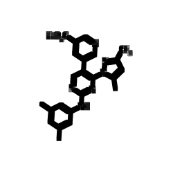 CCOC(=O)c1cncc(-c2cnc(Nc3cc(C)cc(C)c3)nc2-n2nc(C(F)(F)F)cc2C)c1